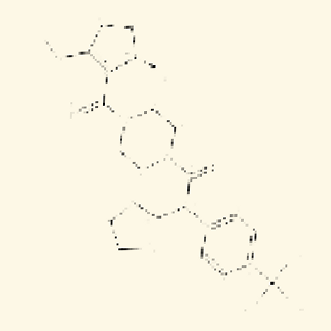 CNC1=C(C(=N)N2CCN(C(=O)[C@@H](c3ccc(C(F)(F)F)cc3)[C@@H]3CCCN3)CC2)[C@H](C)CC1